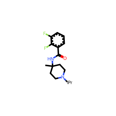 CC(C)N1CCC(C)(NC(=O)c2cccc(F)c2F)CC1